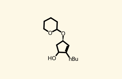 CCCCC1=C[C@H](OC2CCCCO2)CC1O